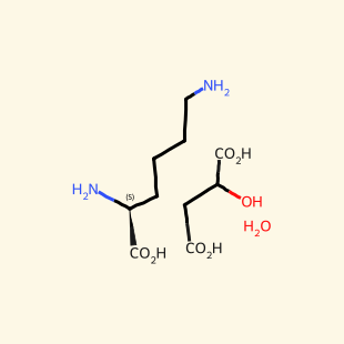 NCCCC[C@H](N)C(=O)O.O.O=C(O)CC(O)C(=O)O